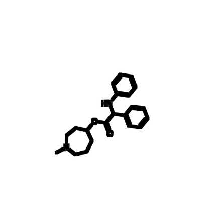 CN1CCCC(OC(=O)C(Nc2ccccc2)c2ccccc2)CC1